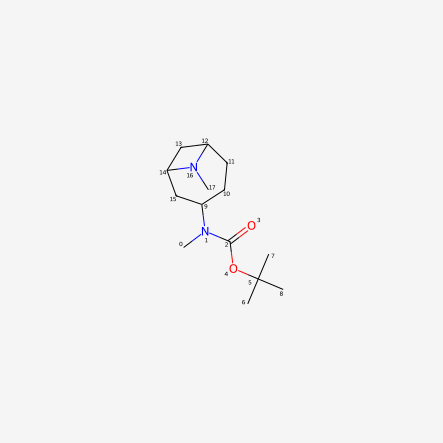 CN(C(=O)OC(C)(C)C)C1CCC2CC(C1)N2C